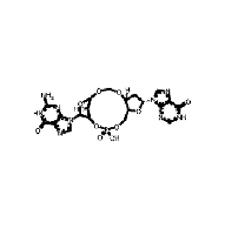 Nc1nc2c(ncn2C2OC3OCO[C@@H]4C[C@H](n5cnc6c(=O)[nH]cnc65)OC4COP(=O)(O)OC2C3O)c(=O)[nH]1